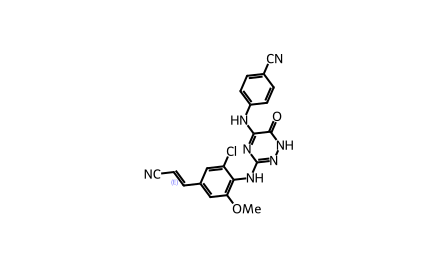 COc1cc(/C=C/C#N)cc(Cl)c1Nc1n[nH]c(=O)c(Nc2ccc(C#N)cc2)n1